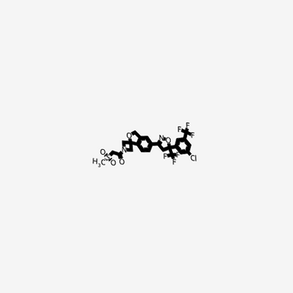 CS(=O)(=O)CC(=O)N1CC2(C1)OCc1cc(C3=NOC(c4cc(Cl)cc(C(F)(F)F)c4)(C(F)(F)F)C3)ccc12